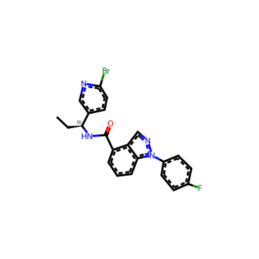 CC[C@H](NC(=O)c1cccc2c1cnn2-c1ccc(F)cc1)c1ccc(Br)nc1